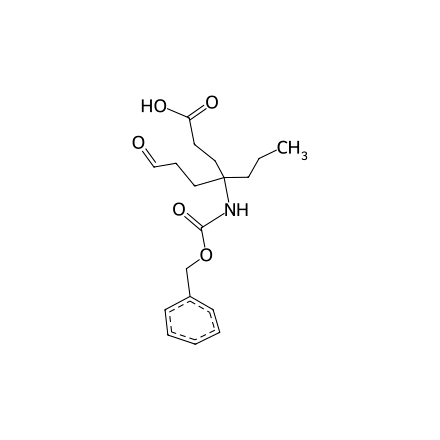 CCCC(CCC=O)(CCC(=O)O)NC(=O)OCc1ccccc1